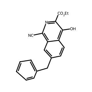 CCOC(=O)c1nc(C#N)c2cc(Cc3ccccc3)ccc2c1O